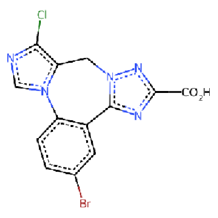 O=C(O)c1nc2n(n1)Cc1c(Cl)ncn1-c1ccc(Br)cc1-2